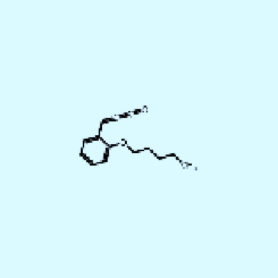 CCCCCOc1ccccc1C=C=C=O